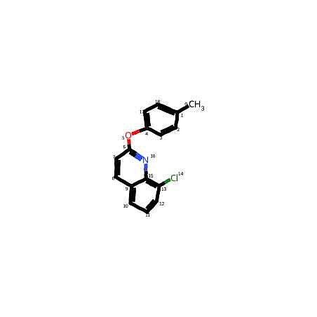 Cc1ccc(Oc2ccc3cccc(Cl)c3n2)cc1